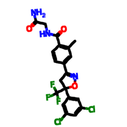 Cc1cc(C2=NOC(c3cc(Cl)cc(Cl)c3)(C(F)(F)F)C2)ccc1C(=O)NCC(N)=O